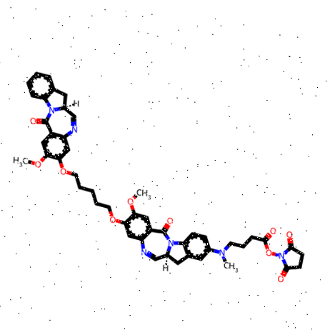 COc1cc2c(cc1OCCCCCOc1cc3c(cc1OC)C(=O)N1c4ccc(N(C)CCCC(=O)ON5C(=O)CCC5=O)cc4C[C@H]1C=N3)N=C[C@@H]1Cc3ccccc3N1C2=O